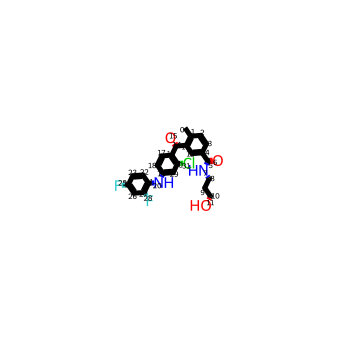 Cc1ccc(C(=O)NCCCO)cc1C(=O)c1ccc(Nc2ccc(F)cc2F)cc1Cl